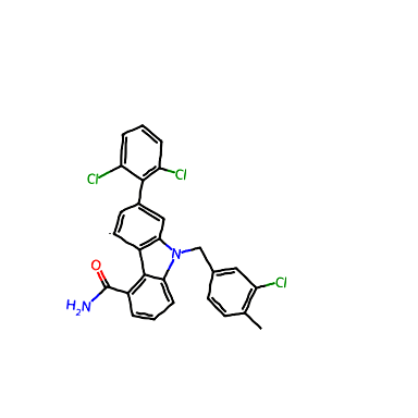 Cc1ccc(Cn2c3cc(-c4c(Cl)cccc4Cl)c[c]c3c3c(C(N)=O)cccc32)cc1Cl